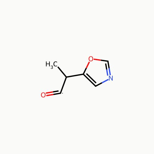 CC([C]=O)c1cnco1